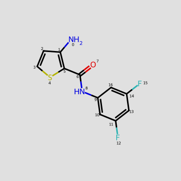 Nc1ccsc1C(=O)Nc1cc(F)cc(F)c1